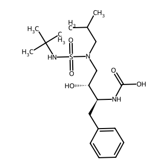 CC(C)CN(C[C@@H](O)[C@H](Cc1ccccc1)NC(=O)O)S(=O)(=O)NC(C)(C)C